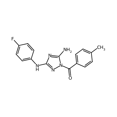 Cc1ccc(C(=O)n2nc(Nc3ccc(F)cc3)nc2N)cc1